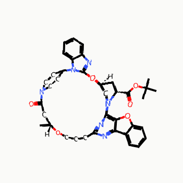 C[C@@H]1CC(=O)N2CCC(CC2)n2c(nc3ccccc32)O[C@H]2C[C@@H](C(=O)OC(C)(C)C)N(C2)c2nc(nc3c2oc2ccccc23)CCCO1